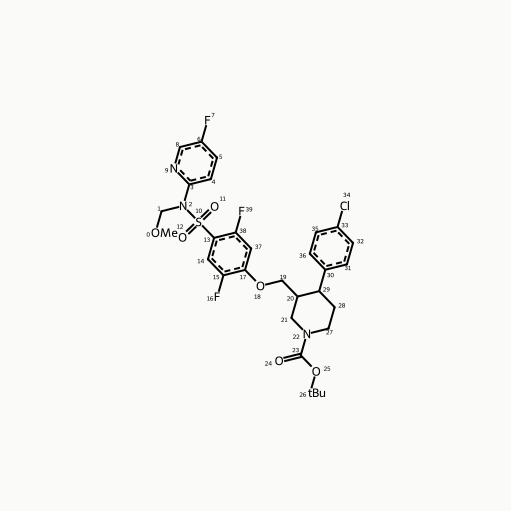 COCN(c1ccc(F)cn1)S(=O)(=O)c1cc(F)c(OCC2CN(C(=O)OC(C)(C)C)CCC2c2ccc(Cl)cc2)cc1F